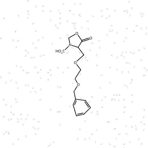 O=C1OCN(C(=O)O)C1COCCOCc1ccccc1